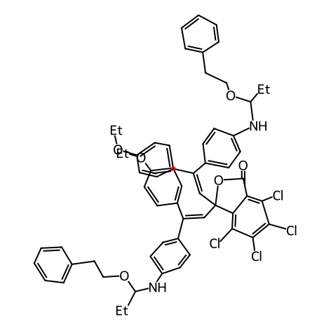 CCOc1ccc(C(=CC2(C=C(c3ccc(NC(CC)OCCc4ccccc4)cc3)c3ccc(OCC)cc3)OC(=O)c3c(Cl)c(Cl)c(Cl)c(Cl)c32)c2ccc(NC(CC)OCCc3ccccc3)cc2)cc1